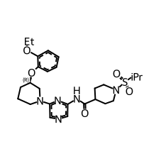 CCOc1ccccc1O[C@@H]1CCCN(c2cncc(NC(=O)C3CCN(S(=O)(=O)C(C)C)CC3)n2)C1